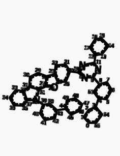 c1ccc(-c2cccc(-c3nc(-c4ccccc4)nc(-c4ccc5c(c4)oc4c5ccc5c6ccccc6n(-c6cccc(-c7ccccc7)c6)c54)n3)c2)cc1